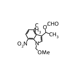 COCn1cc(C(C)OC=O)c2c(C)ccc([N+](=O)[O-])c21